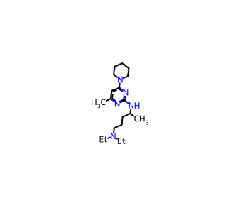 CCN(CC)CCCC(C)Nc1nc(C)cc(N2CCCCC2)n1